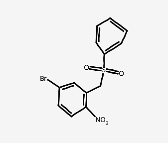 O=[N+]([O-])c1ccc(Br)cc1CS(=O)(=O)c1ccccc1